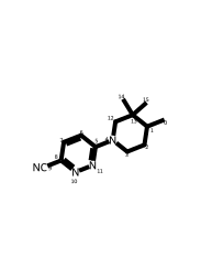 CC1CCN(c2ccc(C#N)nn2)CC1(C)C